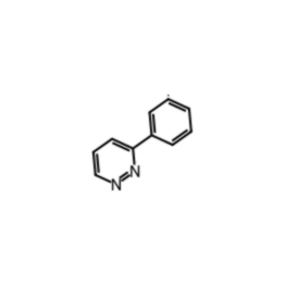 [c]1cccc(-c2cccnn2)c1